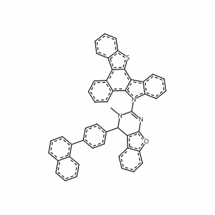 CN1C(n2c3ccccc3c3c4sc5ccccc5c4c4ccccc4c32)=Nc2oc3ccccc3c2C1c1ccc(-c2cccc3ccccc23)cc1